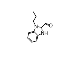 CCCN1c2ccccc2NC1C=O